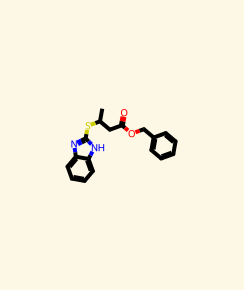 CC(CC(=O)OCc1ccccc1)Sc1nc2ccccc2[nH]1